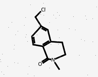 CN1CCc2cc(CCl)ccc2C1=O